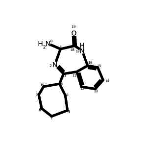 NC1N=C(C2CCCCCC2)c2ccccc2NC1=O